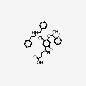 CC(Oc1cc2onc(CCC(=O)O)c2cc1Cl)c1ccccn1.c1ccc(CCNCc2ccccc2)cc1